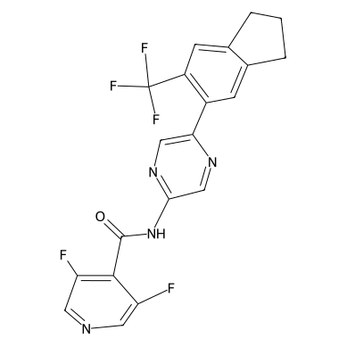 O=C(Nc1cnc(-c2cc3c(cc2C(F)(F)F)CCC3)cn1)c1c(F)cncc1F